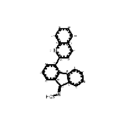 ON=C1c2ccccc2-c2c1cccc2-c1ccc2ccccc2n1